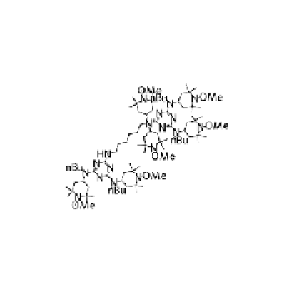 CCCCN(c1nc(NCCCCCC[N+](c2nc(N(CCCC)C3CC(C)(C)N(OC)C(C)(C)C3)nc(N(CCCC)C3CC(C)(C)N(OC)C(C)(C)C3)n2)(C2CC(C)(C)N(OC)C(C)(C)C2)C2CC(C)(C)N(OC)C(C)(C)C2)nc(N(CCCC)C2CC(C)(C)N(OC)C(C)(C)C2)n1)C1CC(C)(C)N(OC)C(C)(C)C1